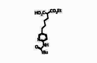 CCOC(=O)C(CCCCc1ccc(NC(=O)C(C)(C)C)nc1)C(=O)O